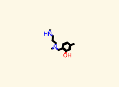 CNCCCN(C)Cc1ccc(C)cc1O